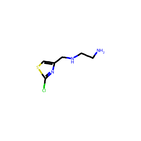 NCCNCc1csc(Cl)n1